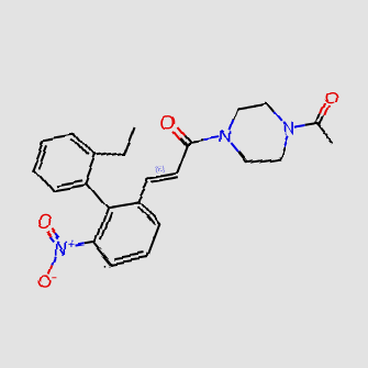 CCc1ccccc1-c1c([N+](=O)[O-])[c]ccc1/C=C/C(=O)N1CCN(C(C)=O)CC1